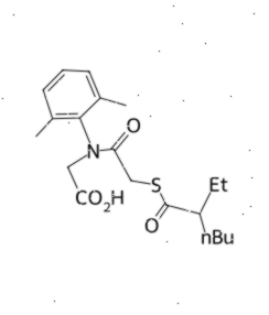 CCCCC(CC)C(=O)SCC(=O)N(CC(=O)O)c1c(C)cccc1C